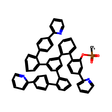 O=S(=O)(Oc1cc(-c2ccccn2)ccc1-c1ccccc1-c1cc(-c2ccccc2-c2ccc(-c3ccccn3)cc2)cc(-c2ccccc2-c2ccc(-c3ccccn3)cc2)c1)C(F)(F)F